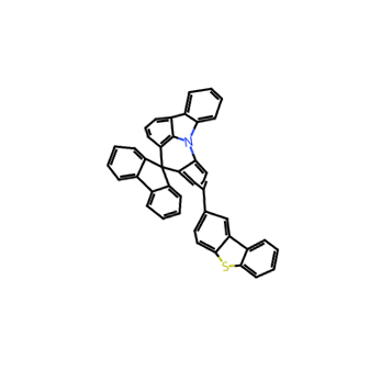 c1ccc2c(c1)-c1ccccc1C21c2cc(-c3ccc4sc5ccccc5c4c3)ccc2-n2c3ccccc3c3cccc1c32